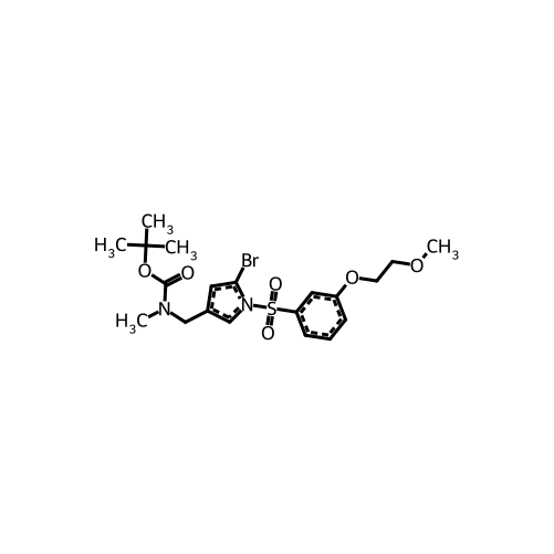 COCCOc1cccc(S(=O)(=O)n2cc(CN(C)C(=O)OC(C)(C)C)cc2Br)c1